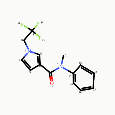 CN(C(=O)c1ccn(CC(F)(F)F)c1)c1ccccc1